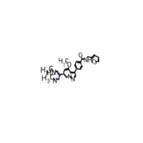 C/N=C\C(=C/NC)c1cc(OC)c2c(-c3ccc(C(=O)NCC4=CCCO4)cc3)cnn2c1